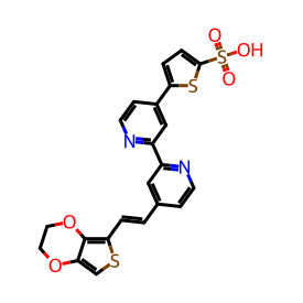 O=S(=O)(O)c1ccc(-c2ccnc(-c3cc(/C=C/c4scc5c4OCCO5)ccn3)c2)s1